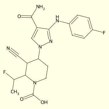 CC(F)C1C(C#N)C(n2cc(C(N)=O)c(Nc3ccc(F)cc3)n2)CCN1C(=O)O